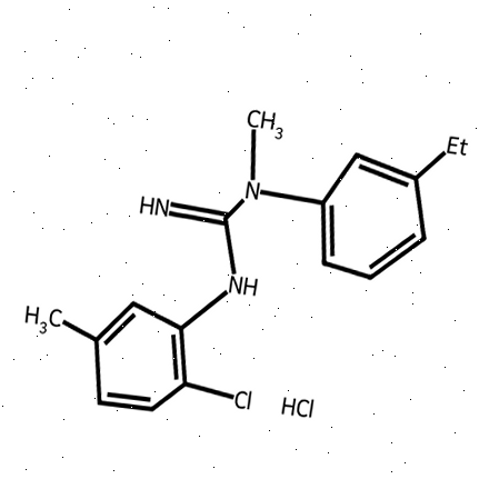 CCc1cccc(N(C)C(=N)Nc2cc(C)ccc2Cl)c1.Cl